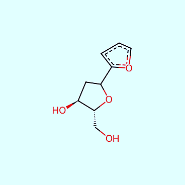 OC[C@H]1OC(c2ccco2)C[C@@H]1O